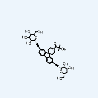 CC(C)(O)C(=O)N1CCC2(CC1)c1cc(C#C[C@H]3O[C@H](CO)[C@@H](O)[C@H](O)[C@@H]3O)ccc1-c1ccc(C#C[C@H]3O[C@H](CO)C[C@H](O)[C@@H]3O)cc12